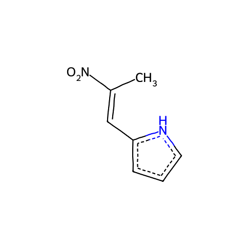 CC(=Cc1ccc[nH]1)[N+](=O)[O-]